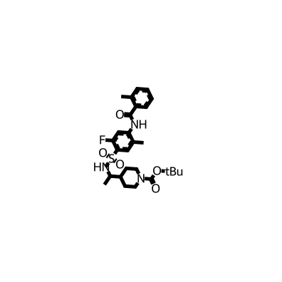 Cc1cc(S(=O)(=O)NC(C)C2CCN(C(=O)OC(C)(C)C)CC2)c(F)cc1NC(=O)c1ccccc1C